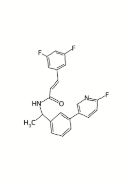 CC(NC(=O)C=Cc1cc(F)cc(F)c1)c1cccc(-c2ccc(F)nc2)c1